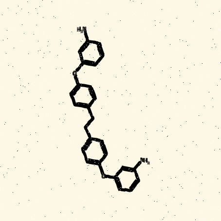 Nc1cccc(Oc2ccc(CCc3ccc(Oc4cccc(N)c4)cc3)cc2)c1